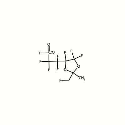 CC1(CF)OC(F)(F)C(F)(C(F)(F)C(F)(F)S(=O)(=O)F)O1